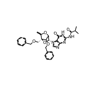 C=C1OC2C(OCc3ccccc3)[C@@]1(COCc1ccccc1)O[C@H]2n1cnc2nc(NC(=O)C(C)C)[nH]c(=O)c21